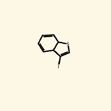 IC1=CSC2C=CC=CC12